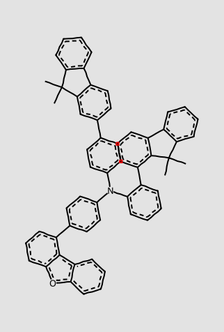 CC1(C)c2ccccc2-c2ccc(-c3ccc(N(c4ccc(-c5cccc6oc7ccccc7c56)cc4)c4ccccc4-c4cccc5c4C(C)(C)c4ccccc4-5)cc3)cc21